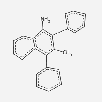 Cc1c(-c2ccccc2)c(N)c2ccccc2c1-c1ccccc1